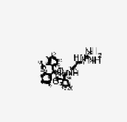 CN1Sc2ccccc2[C@H](NC(=O)C2(C(=O)N[CH]CCCNC(=N)N)CCCC2)c2ccccc21